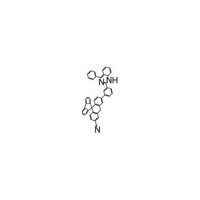 N#Cc1ccc2c(c1)Cc1cc(-c3cccc(C4=NC(c5ccccc5)=C5C=CC=CC5N4)c3)ccc1C21c2ccccc2-c2ccccc21